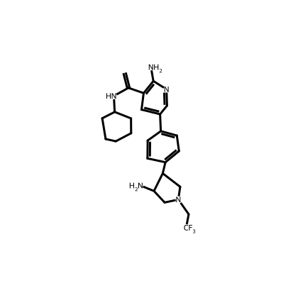 C=C(NC1CCCCC1)c1cc(-c2ccc(C3CN(CC(F)(F)F)CC3N)cc2)cnc1N